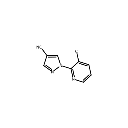 N#Cc1cnn(-c2ncccc2Cl)c1